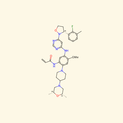 C=CC(=O)Nc1cc(Nc2cc(N3OCC[C@@H]3c3cccc(C)c3F)ncn2)c(OC)cc1N1CCC(N2C[C@@H](C)O[C@@H](C)C2)CC1